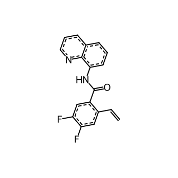 C=Cc1cc(F)c(F)cc1C(=O)Nc1cccc2cccnc12